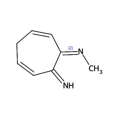 C/N=C1/C=CCC=CC1=N